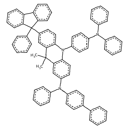 CC1(C)c2cc(N(c3ccccc3)c3ccc(-c4ccccc4)cc3)ccc2N(c2ccc(N(c3ccccc3)c3ccccc3)cc2)c2ccc(C3(c4ccccc4)c4ccccc4-c4ccccc43)cc21